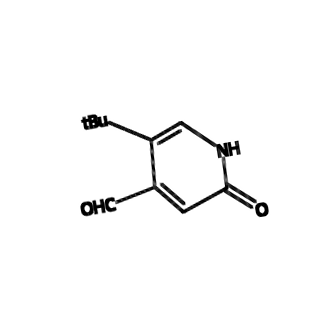 CC(C)(C)c1c[nH]c(=O)cc1C=O